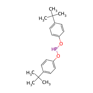 CC(C)(C)c1ccc(OPOc2ccc(C(C)(C)C)cc2)cc1